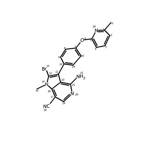 Cc1cccc(Oc2ccc(-c3c(Br)n(C)c4c(C#N)cnc(N)c34)cc2)n1